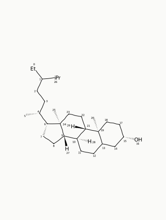 CCC(CC[C@@H](C)[C@H]1CC[C@H]2[C@@H]3CCC4C[C@@H](O)CC[C@]4(C)[C@H]3CC[C@]12C)C(C)C